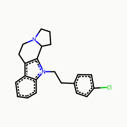 Clc1ccc(CCn2c3c(c4ccccc42)CCN2CCCC32)cc1